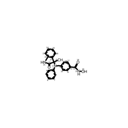 CC1(N(c2ccccc2)c2ccc(C(=O)NO)cc2)C(=O)Nc2ccccc21